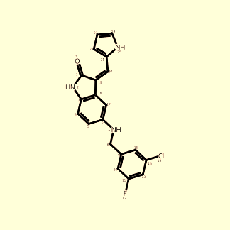 O=C1Nc2ccc(NCc3cc(F)cc(Cl)c3)cc2/C1=C/c1ccc[nH]1